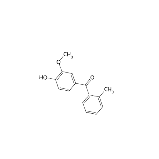 COc1cc(C(=O)c2ccccc2C)ccc1O